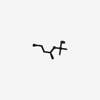 CC(=O)CC[C@H](C)O[Si](C)(C)C(C)(C)C